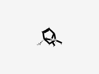 CN1C[C@H]2C=CC1N2C